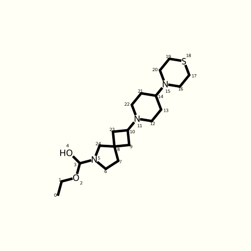 CCOC(O)N1CCC2(CC(N3CCC(N4CCSCC4)CC3)C2)C1